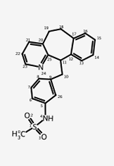 CS(=O)(=O)Nc1cccc(CC2c3ccccc3CCc3cccnc32)c1